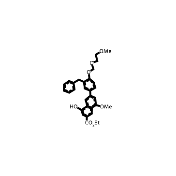 CCOC(=O)c1cc(O)c2cc(-c3ccc(OCOCCOC)c(Cc4ccccc4)c3)cc(OC)c2c1